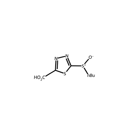 CCCC[S+]([O-])c1nnc(C(=O)O)s1